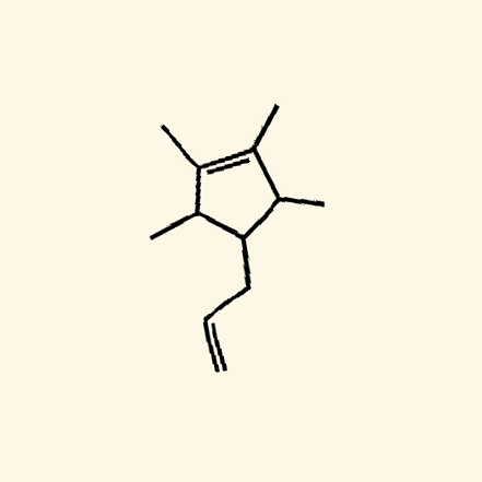 C=CCC1C(C)C(C)=C(C)C1C